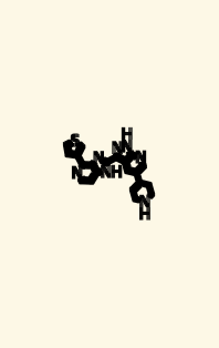 C1=C(c2cnc3[nH]nc(-c4nc5c(-c6ccsc6)nccc5[nH]4)c3c2)CCNC1